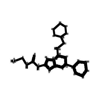 CCNC(=O)Nc1nc2cc(-c3cccnc3)cc(NCC3CCCCC3)n2n1